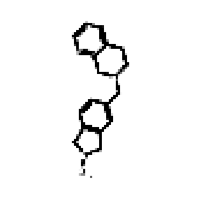 CN1Cc2ccc(CN3CCc4cccnc4C3)cc2C1